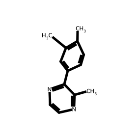 Cc1ccc(-c2nccnc2C)cc1C